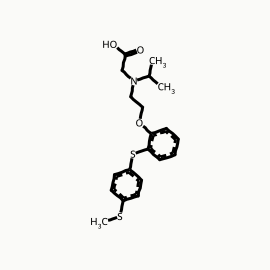 CSc1ccc(Sc2ccccc2OCCN(CC(=O)O)C(C)C)cc1